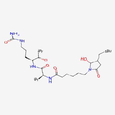 CC(C)C(=O)[C@H](CCCNC(N)=O)NC(=O)[C@@H](NC(=O)CCCCCN1C(=O)CC(CC(C)(C)C)C1O)C(C)C